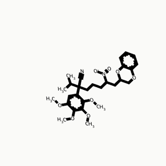 COc1cc(C(C#N)(CCCC(CC2COc3ccccc3O2)[N+](=O)[O-])C(C)C)c(OC)c(OC)c1OC